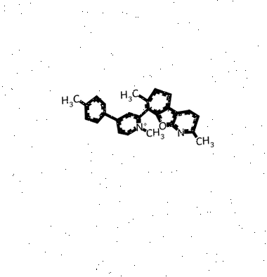 Cc1ccc(-c2cc[n+](C)c(-c3c(C)ccc4c3oc3nc(C)ccc34)c2)cc1